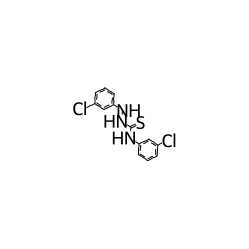 S=C(NNc1cccc(Cl)c1)Nc1cccc(Cl)c1